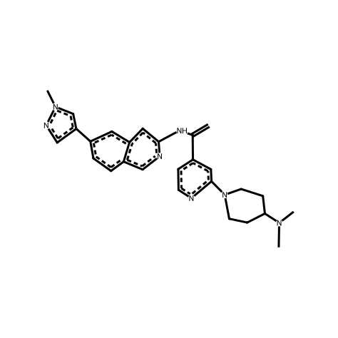 C=C(Nc1cc2cc(-c3cnn(C)c3)ccc2cn1)c1ccnc(N2CCC(N(C)C)CC2)c1